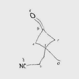 CC1(CC#N)CC(=O)C1